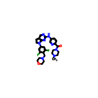 CN1CCN(C(=O)c2ccc(Nc3ncc4ccn(-c5cc(F)c(CN6CCOCC6)c(F)c5)c4n3)cn2)CC1